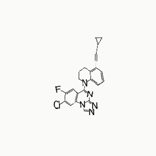 Fc1cc2c(N3CCCc4c(C#CC5CC5)cccc43)nc3nncn3c2cc1Cl